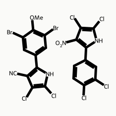 COc1c(Br)cc(-c2[nH]c(Cl)c(Cl)c2C#N)cc1Br.O=[N+]([O-])c1c(-c2ccc(Cl)c(Cl)c2)[nH]c(Cl)c1Cl